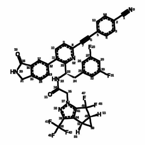 N#Cc1ccc(C#Cc2ccc(-c3ccc4c(c3)C(=O)NC4)c([C@H](Cc3cc(F)cc(F)c3)NC(=O)Cn3nc(C(F)(F)F)c4c3C(F)(F)[C@@H]3C[C@H]43)n2)cc1